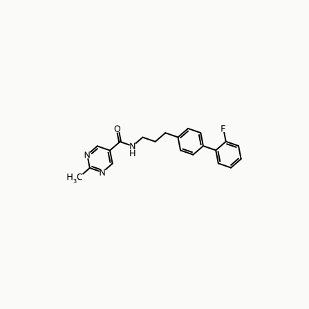 Cc1ncc(C(=O)NCCCc2ccc(-c3ccccc3F)cc2)cn1